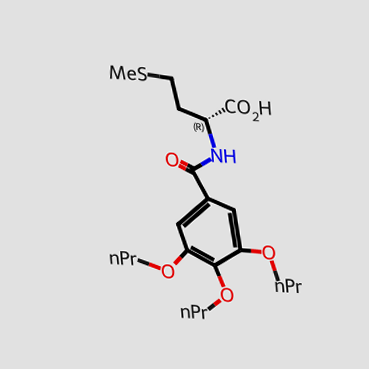 CCCOc1cc(C(=O)N[C@H](CCSC)C(=O)O)cc(OCCC)c1OCCC